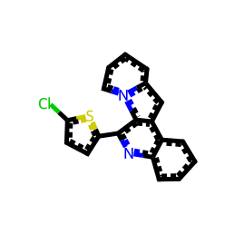 Clc1ccc(-c2nc3ccccc3c3cc4ccccn4c23)s1